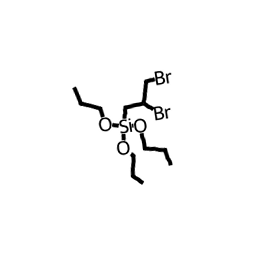 CCCO[Si](CC(Br)CBr)(OCCC)OCCC